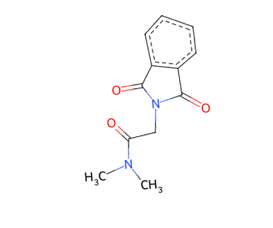 CN(C)C(=O)CN1C(=O)c2ccccc2C1=O